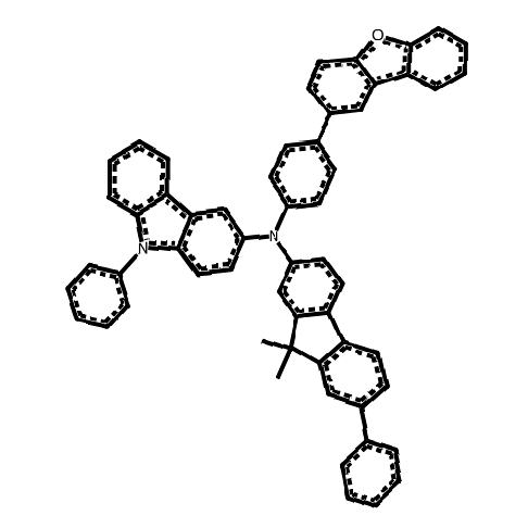 CC1(C)c2cc(-c3ccccc3)ccc2-c2ccc(N(c3ccc(-c4ccc5oc6ccccc6c5c4)cc3)c3ccc4c(c3)c3ccccc3n4-c3ccccc3)cc21